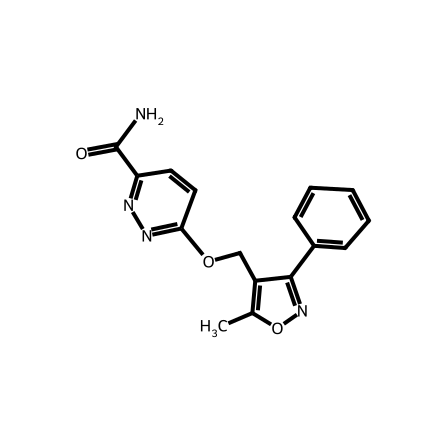 Cc1onc(-c2ccccc2)c1COc1ccc(C(N)=O)nn1